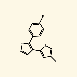 Cc1csc(-c2ccoc2-c2ccc(F)cc2)c1